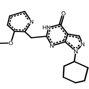 COc1cccnc1Cc1nc2c(cnn2C2CCCCC2)c(=O)[nH]1